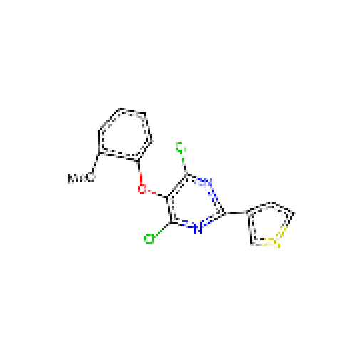 COc1ccccc1Oc1c(Cl)nc(-c2ccsc2)nc1Cl